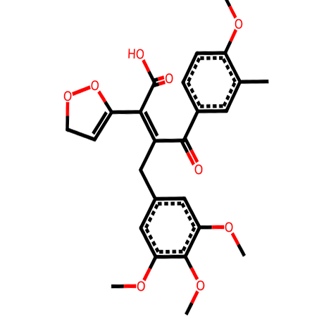 COc1ccc(C(=O)C(Cc2cc(OC)c(OC)c(OC)c2)=C(C(=O)O)C2=CCOO2)cc1C